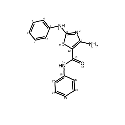 Nc1nc(Nc2ccccc2)sc1C(=O)Nc1ccccc1